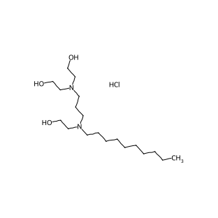 CCCCCCCCCCN(CCO)CCCN(CCO)CCO.Cl